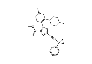 COC(=O)c1sc(C#CC2(c3ccccc3)CC2)cc1C1=C(C2CCC(C)CC2)CN(C)CC1